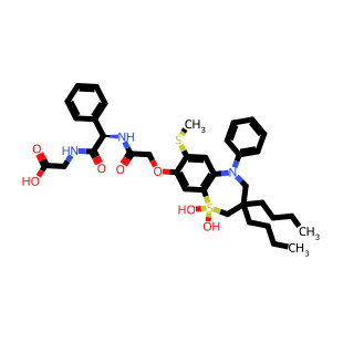 CCCCC1(CCCC)CN(c2ccccc2)c2cc(SC)c(OCC(=O)N[C@@H](C(=O)NCC(=O)O)c3ccccc3)cc2S(O)(O)C1